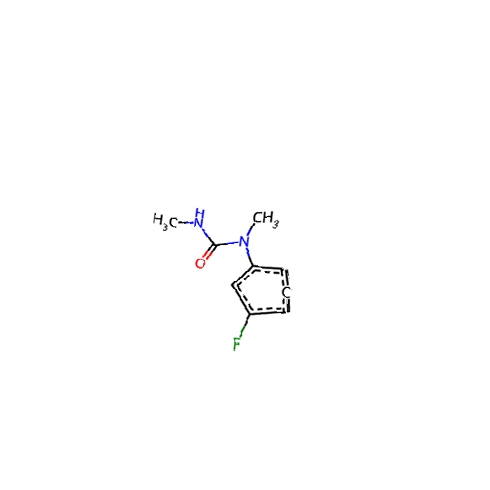 CNC(=O)N(C)c1cccc(F)c1